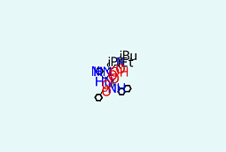 CCC(C)CN(CC)C(=O)C[C@H](O)[C@H](CC(C)C)NC(=O)C(Cc1cccnc1)NC(=O)[C@H](Cc1cccc2ccccc12)NC(=O)OCc1ccccc1